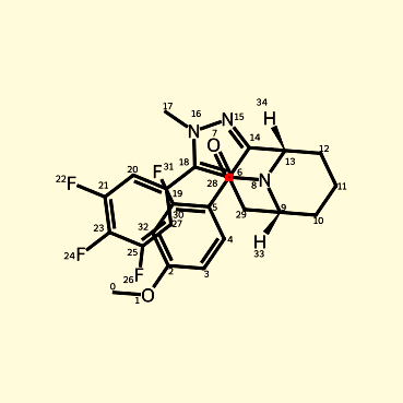 COc1ccc(C(=O)N2[C@@H]3CCC[C@H]2c2nn(C)c(-c4cc(F)c(F)c(F)c4)c2C3)c(F)c1